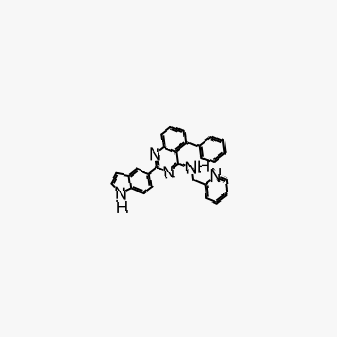 c1ccc(-c2cccc3nc(-c4ccc5[nH]ccc5c4)nc(NCc4ccccn4)c23)cc1